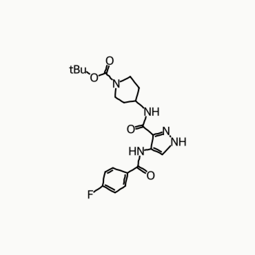 CC(C)(C)OC(=O)N1CCC(NC(=O)c2n[nH]cc2NC(=O)c2ccc(F)cc2)CC1